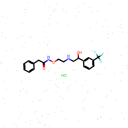 Cl.O=C(Cc1ccccc1)NOCCNCC(O)c1cccc(C(F)(F)F)c1